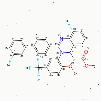 COC(=O)CC1c2cccc(F)c2N=C(c2ccc(-c3cccc(F)c3)cc2)N1c1cc(C(F)(F)F)ccc1OC